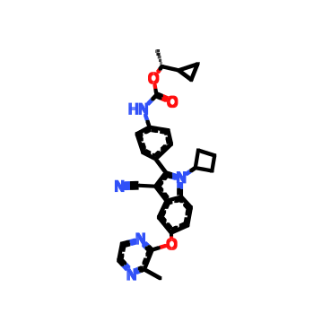 Cc1nccnc1Oc1ccc2c(c1)c(C#N)c(-c1ccc(NC(=O)O[C@H](C)C3CC3)cc1)n2C1CCC1